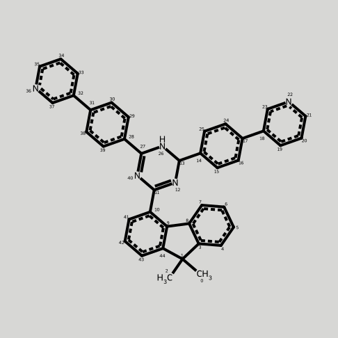 CC1(C)c2ccccc2-c2c(C3=NC(c4ccc(-c5cccnc5)cc4)NC(c4ccc(-c5cccnc5)cc4)=N3)cccc21